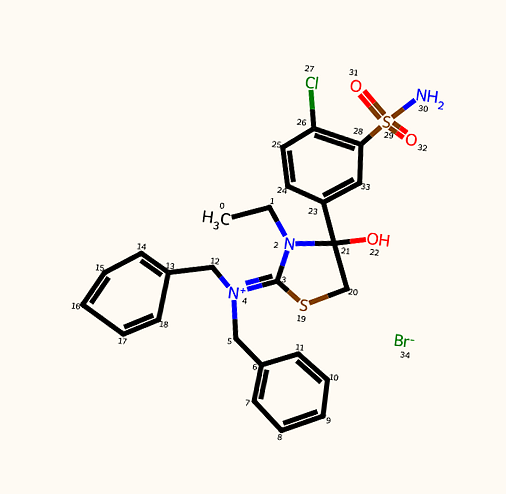 CCN1C(=[N+](Cc2ccccc2)Cc2ccccc2)SCC1(O)c1ccc(Cl)c(S(N)(=O)=O)c1.[Br-]